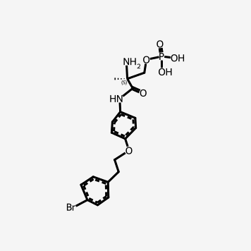 C[C@](N)(COP(=O)(O)O)C(=O)Nc1ccc(OCCc2ccc(Br)cc2)cc1